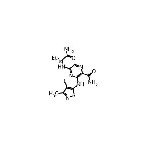 CC[C@@H](Nc1cnc(C(N)=O)c(Nc2snc(C)c2I)n1)C(N)=O